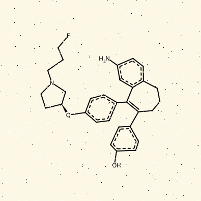 Nc1ccc2c(c1)C(c1ccc(O[C@H]3CCN(CCCF)C3)cc1)=C(c1ccc(O)cc1)CCC2